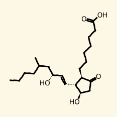 CCCCC(C)C[C@@H](O)C=C[C@H]1[C@H](O)CC(=O)[C@@H]1CCCCCCC(=O)O